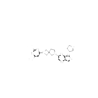 Cc1nc(N2CC3(CCN(c4cnc5cnn([C@@H]6CCOC6)c5n4)C3)C2)cc(C(F)(F)F)n1